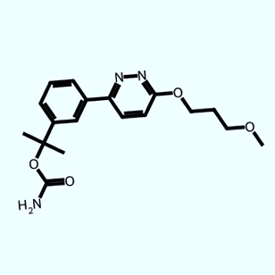 COCCCOc1ccc(-c2cccc(C(C)(C)OC(N)=O)c2)nn1